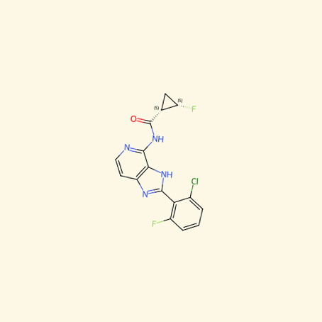 O=C(Nc1nccc2nc(-c3c(F)cccc3Cl)[nH]c12)[C@@H]1C[C@@H]1F